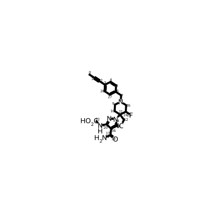 CC#Cc1ccc(CN2CCC(CC#N)(n3cc(C(N)=O)c(NC(=O)O)n3)C(F)C2)cc1